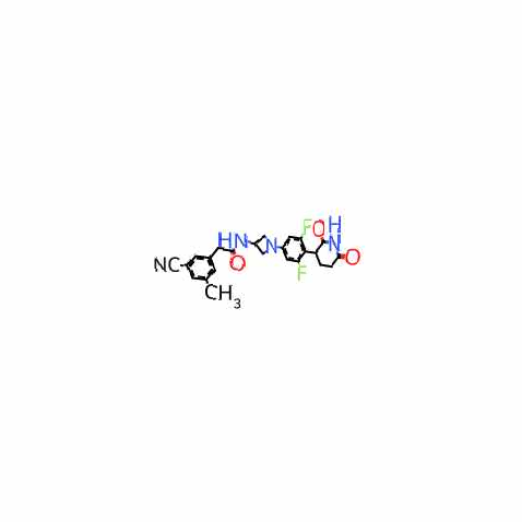 Cc1cc(C#N)cc(CC(=O)NC2CN(c3cc(F)c(C4CCC(=O)NC4=O)c(F)c3)C2)c1